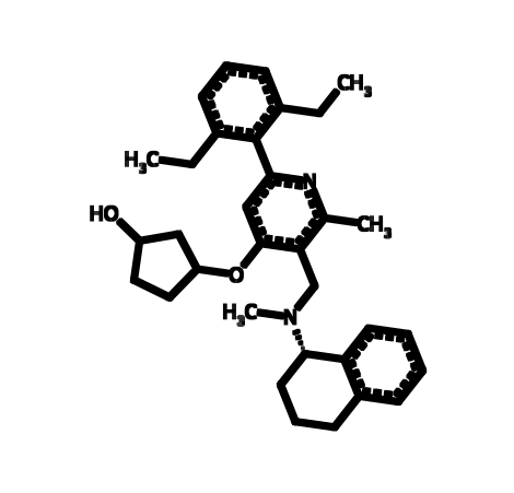 CCc1cccc(CC)c1-c1cc(OC2CCC(O)C2)c(CN(C)[C@H]2CCCc3ccccc32)c(C)n1